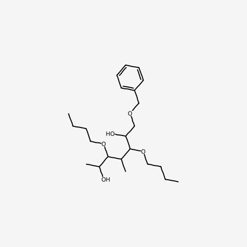 CCCCOC(C(C)O)C(C)C(OCCCC)C(O)COCc1ccccc1